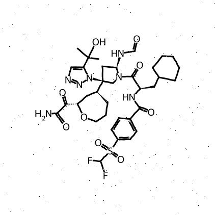 CC(C)(O)c1cnnn1[C@@]1([C@H]2CCCO[C@H](C(=O)C(N)=O)C2)C[C@@H](NC=O)N(C(=O)[C@@H](CC2CCCCC2)NC(=O)c2ccc(S(=O)(=O)C(F)F)cc2)C1